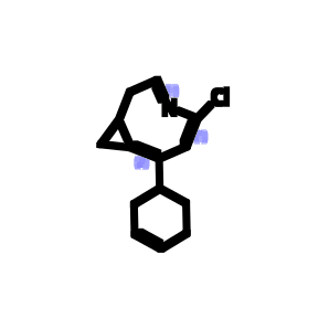 ClC1=C/C(C2CC=CCC2)=C2/CC2C\C=N\1